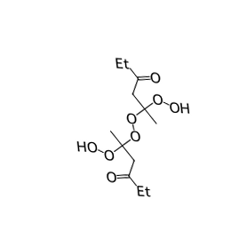 CCC(=O)CC(C)(OO)OOC(C)(CC(=O)CC)OO